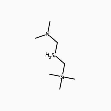 CN(C)C[SiH2]C[Si](C)(C)C